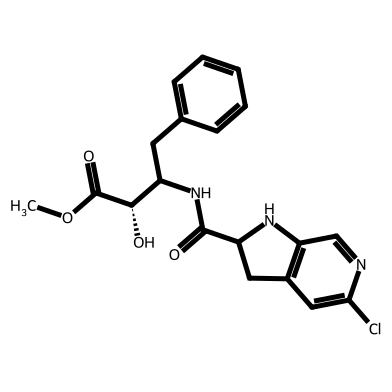 COC(=O)[C@@H](O)C(Cc1ccccc1)NC(=O)C1Cc2cc(Cl)ncc2N1